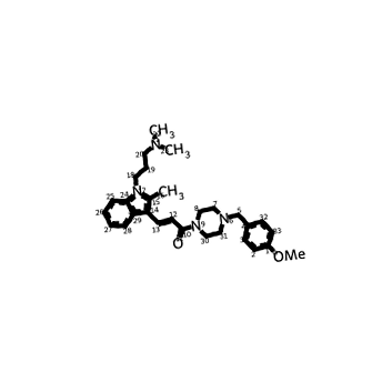 COc1ccc(CN2CCN(C(=O)C=Cc3c(C)n(CCCN(C)C)c4ccccc34)CC2)cc1